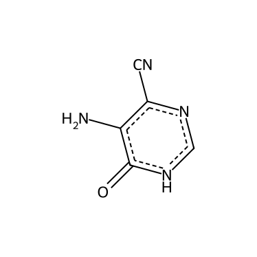 N#Cc1nc[nH]c(=O)c1N